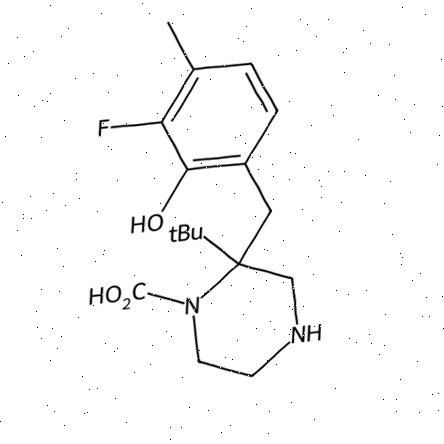 Cc1ccc(CC2(C(C)(C)C)CNCCN2C(=O)O)c(O)c1F